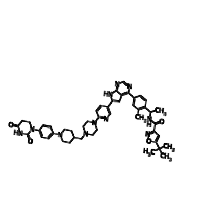 Cc1cc(-c2ncnc3[nH]c(-c4ccc(N5CCN(CC6CCN(c7ccc(N8CCC(=O)NC8=O)cc7)CC6)CC5)nc4)cc23)ccc1C(C)NC(=O)c1cc(C(C)(C)C)on1